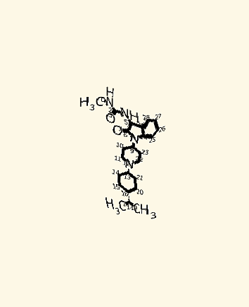 CNC(=O)NC1C(=O)N(C2CCN([C@H]3CC[C@@H](C(C)C)CC3)CC2)c2ccccc21